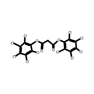 O=C(CC(=O)Oc1c(Cl)c(Cl)c(Cl)c(Cl)c1Cl)Oc1c(Cl)c(Cl)c(Cl)c(Cl)c1Cl